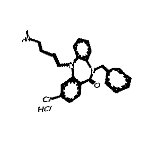 CNCCCCN1c2cc(Cl)ccc2C(=O)N(Cc2ccccc2)c2ccccc21.Cl